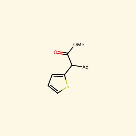 COC(=O)C(C(C)=O)c1cccs1